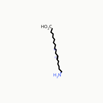 NCCCCC/C=C/C/C=C/CCCCCCCC(=O)O